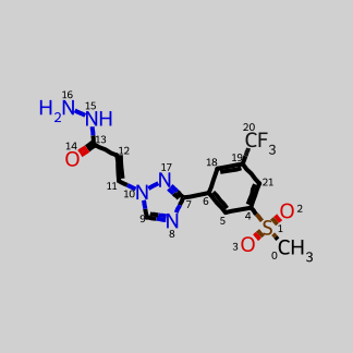 CS(=O)(=O)c1cc(-c2ncn(C=CC(=O)NN)n2)cc(C(F)(F)F)c1